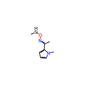 CC(=NO[SiH](C)C)c1cccn1C